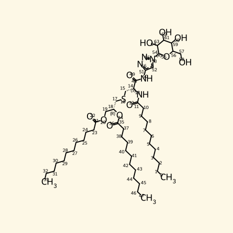 CCCCCCCCCCCC(=O)N[C@H](CSC[C@@H](COC(=O)CCCCCCCCCCC)OC(=O)CCCCCCCCCCC)C(=O)Nc1cn([C@@H]2OC(CO)C(O)C(O)C2O)nn1